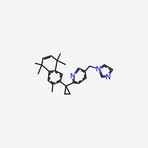 Cc1cc2c(cc1C1(c3ccc(Cn4ccnc4)cn3)CC1)C(C)(C)C=CC2(C)C